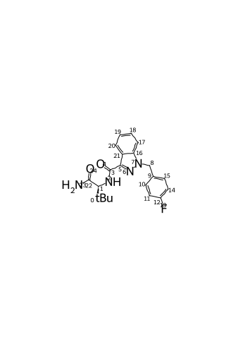 CC(C)(C)[C@H](NC(=O)c1nn(Cc2ccc(F)cc2)c2ccccc12)C(N)=O